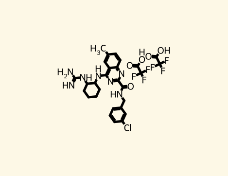 Cc1ccc2nc(C(=O)NCc3cccc(Cl)c3)nc(NC3CCCCC3NC(=N)N)c2c1.O=C(O)C(F)(F)F.O=C(O)C(F)(F)F